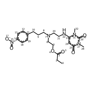 CCC(=O)OCCN(CCCc1ccc([N+](=O)[O-])cc1)CCNc1cc(=O)n(C)c(=O)n1C